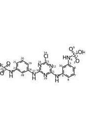 O=S(=O)(O)Nc1cccc(Nc2nc(Cl)nc(Nc3cccc(NS(=O)(=O)O)c3)n2)c1